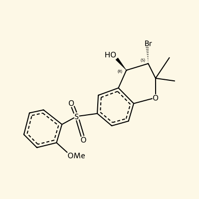 COc1ccccc1S(=O)(=O)c1ccc2c(c1)[C@@H](O)[C@H](Br)C(C)(C)O2